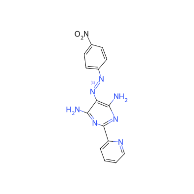 Nc1nc(-c2ccccn2)nc(N)c1/N=N/c1ccc([N+](=O)[O-])cc1